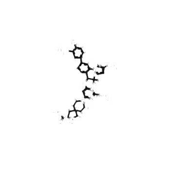 Cc1ccn(-c2cc(-c3ccc(F)c(C)c3)ccc2C(Oc2cc(N3CCC4(CC3)CN[C@H](C(=O)O)C4)nc(N)n2)C(F)(F)F)n1